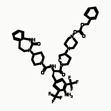 Nc1c(C(F)(F)F)cc(C[C@@H](NC(=O)N2CCC(N3CCc4ccccc4NC3=O)CC2)C(=O)N2CCC(N3CCN(OC(=O)OCc4ccccc4)CC3)CC2)cc1C(F)(F)F